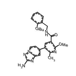 COc1nc(C)c(-c2ccn3nc(N)nc3c2)cc1C(=O)NCc1ccccc1OCC(C)C